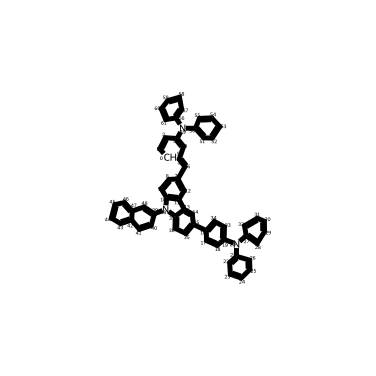 C\C=C/C(=C\C=C\c1ccc2c(c1)c1cc(-c3ccc(N(c4ccccc4)c4ccccc4)cc3)ccc1n2-c1ccc2ccccc2c1)N(c1ccccc1)c1ccccc1